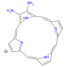 Nc1c(N)c2cc3nc(cc4ccc(cc5nc(cc1[nH]2)C=C5)[nH]4)C=C3.[Zn]